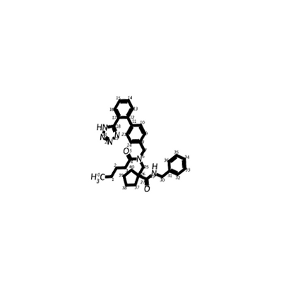 CCCCC(=O)N(Cc1ccc(-c2ccccc2-c2nnn[nH]2)cc1)CC1(C(=O)NCc2ccccc2)CCCC1